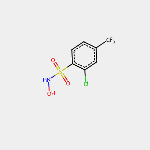 O=S(=O)(NO)c1ccc(C(F)(F)F)cc1Cl